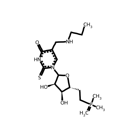 C=P(C)(C)CC[C@H]1OC(n2cc(CNCCC)c(=O)[nH]c2=S)[C@H](O)[C@@H]1O